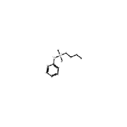 CCCC[N+](C)(C)Oc1ccccc1